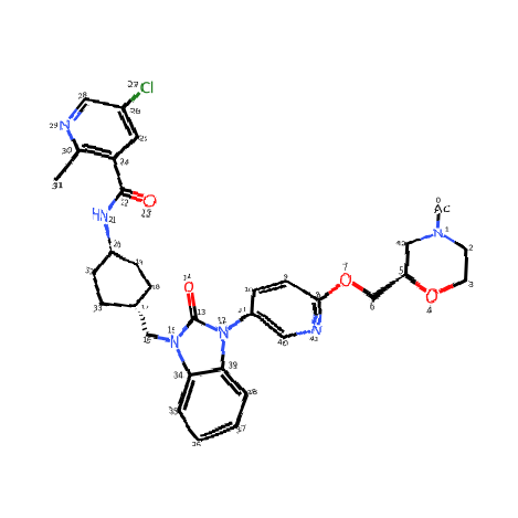 CC(=O)N1CCO[C@@H](COc2ccc(-n3c(=O)n(C[C@H]4CC[C@H](NC(=O)c5cc(Cl)cnc5C)CC4)c4ccccc43)cn2)C1